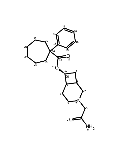 NC(=O)CN1CCC2C(C[C@@H]2OC(=O)C2(c3ccccc3)CCCCCC2)C1